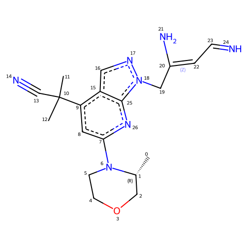 C[C@@H]1COCCN1c1cc(C(C)(C)C#N)c2cnn(C/C(N)=C/C=N)c2n1